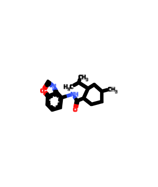 CC1CCC(C(=O)Nc2cccc3ocnc23)C(C(C)C)C1